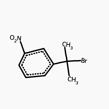 CC(C)(Br)c1cccc([N+](=O)[O-])c1